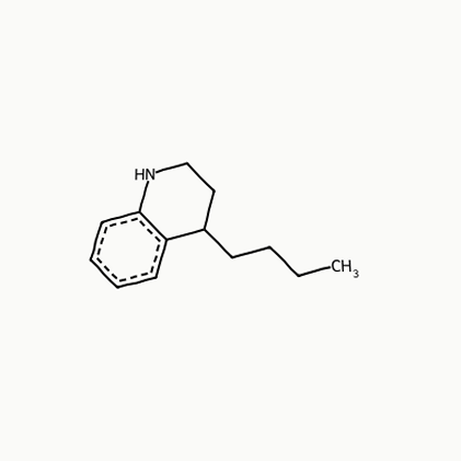 CCCCC1CCNc2ccccc21